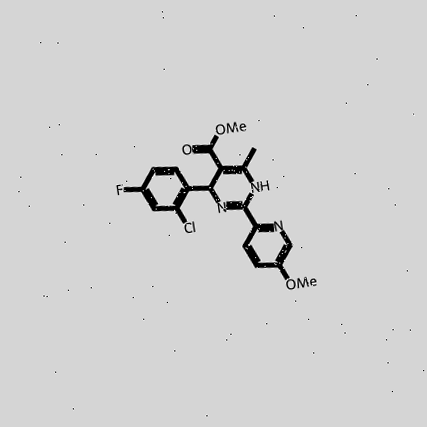 COC(=O)C1=C(C)NC(c2ccc(OC)cn2)=NC1c1ccc(F)cc1Cl